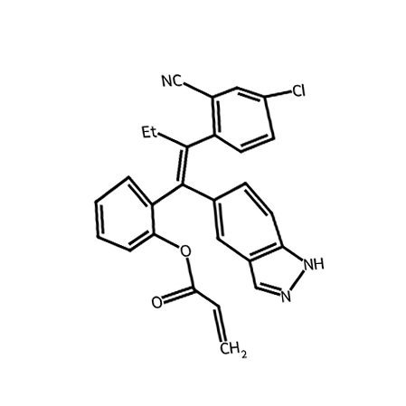 C=CC(=O)Oc1ccccc1/C(=C(\CC)c1ccc(Cl)cc1C#N)c1ccc2[nH]ncc2c1